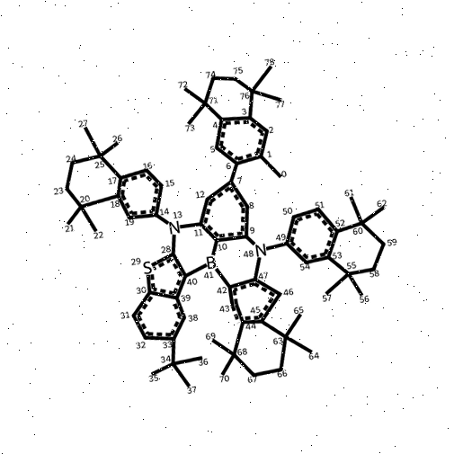 Cc1cc2c(cc1-c1cc3c4c(c1)N(c1ccc5c(c1)C(C)(C)CCC5(C)C)c1sc5ccc(C(C)(C)C)cc5c1B4c1cc4c(cc1N3c1ccc3c(c1)C(C)(C)CCC3(C)C)C(C)(C)CCC4(C)C)C(C)(C)CCC2(C)C